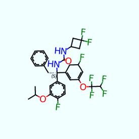 CC(C)Oc1cc([C@@](Cc2ccccc2)(NC(=O)NC2CC(F)(F)C2)C2=CC(OC(F)(F)C(F)F)=CC(F)C2)ccc1F